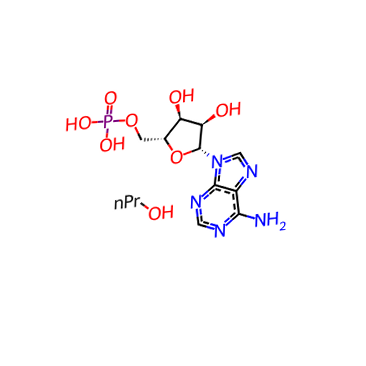 CCCO.Nc1ncnc2c1ncn2[C@@H]1O[C@H](COP(=O)(O)O)[C@@H](O)[C@H]1O